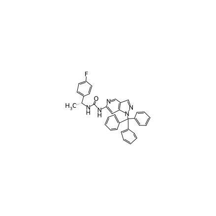 C[C@@H](NC(=O)Nc1cc2c(cn1)cnn2C(c1ccccc1)(c1ccccc1)c1ccccc1)c1ccc(F)cc1